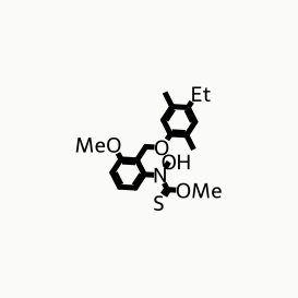 CCc1cc(C)c(OCc2c(OC)cccc2N(O)C(=S)OC)cc1C